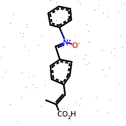 CC(=Cc1ccc(C=[N+]([O-])c2ccccc2)cc1)C(=O)O